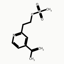 C=C(C)c1ccnc(CCOS(C)(=O)=O)c1